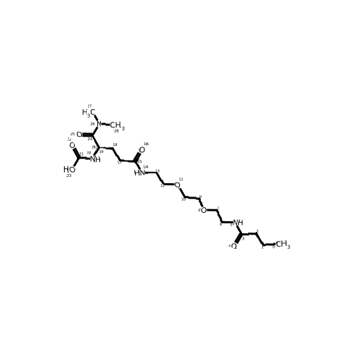 CCCC(=O)NCCOCCOCCNC(=O)CC[C@@H](NC(=O)O)C(=O)N(C)C